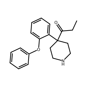 CCC(=O)C1(c2ccccc2Oc2ccccc2)CCNCC1